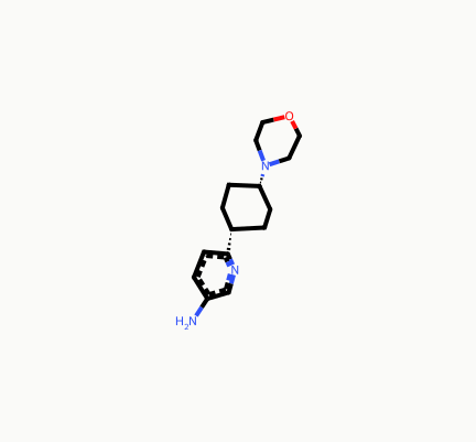 Nc1ccc([C@H]2CC[C@@H](N3CCOCC3)CC2)nc1